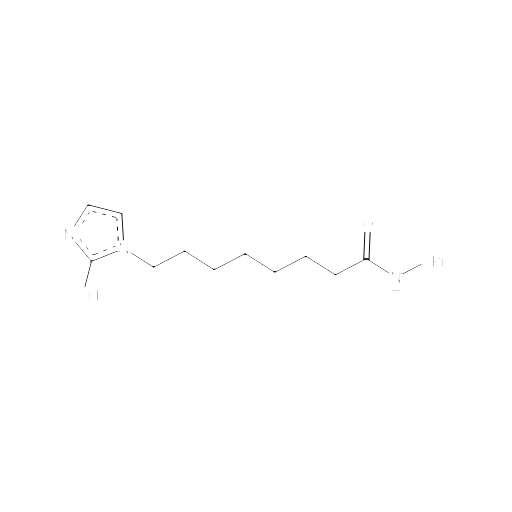 CCCNC(=O)CCCCCCCn1c[c]nc1C